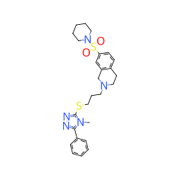 Cn1c(SCCCN2CCc3ccc(S(=O)(=O)N4CCCCC4)cc3C2)nnc1-c1ccccc1